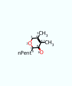 CCCCCC1OCC(C)=C(C)C1=O